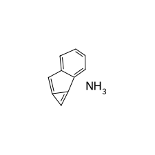 N.c1ccc2c3cc-3cc2c1